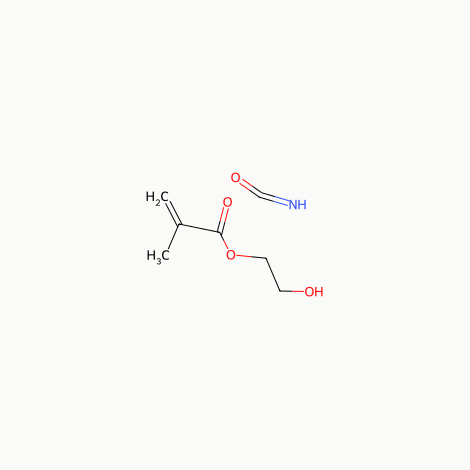 C=C(C)C(=O)OCCO.N=C=O